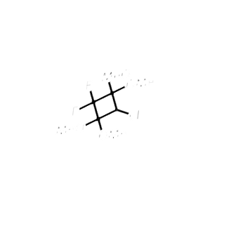 COC1(OC)C(Cl)C(OC)(OC)C1(F)F